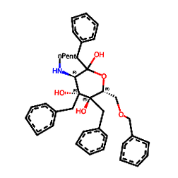 CCCCCN[C@H]1C(O)(Cc2ccccc2)O[C@H](COCc2ccccc2)[C@](O)(Cc2ccccc2)[C@@]1(O)Cc1ccccc1